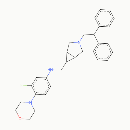 Fc1cc(NCC2C3CN(CC(c4ccccc4)c4ccccc4)CC23)ccc1N1CCOCC1